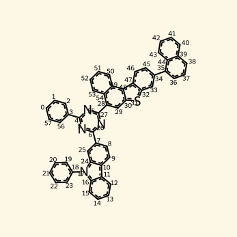 c1ccc(-c2nc(-c3ccc4c5ccccc5n(-c5ccccc5)c4c3)nc(-c3cc4sc5cc(-c6cccc7ccccc67)ccc5c4c4ccccc34)n2)cc1